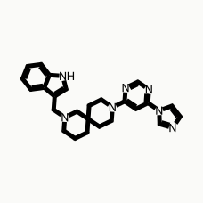 c1ccc2c(CN3CCCC4(CCN(c5cc(-n6ccnc6)ncn5)CC4)C3)c[nH]c2c1